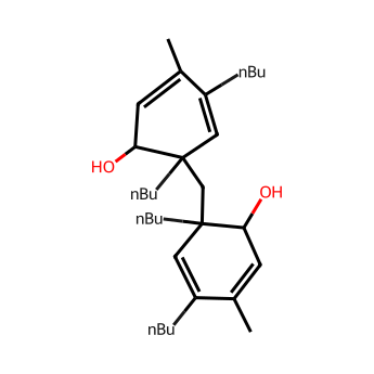 CCCCC1=CC(CCCC)(CC2(CCCC)C=C(CCCC)C(C)=CC2O)C(O)C=C1C